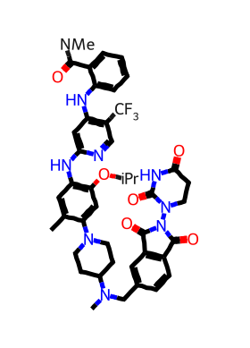 CNC(=O)c1ccccc1Nc1cc(Nc2cc(C)c(N3CCC(N(C)Cc4ccc5c(c4)C(=O)N(N4CCC(=O)NC4=O)C5=O)CC3)cc2OC(C)C)ncc1C(F)(F)F